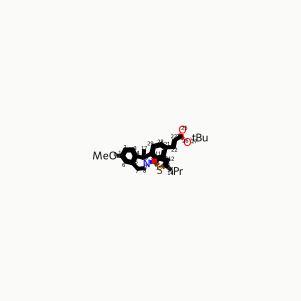 COc1ccc2c(c1)CCN(c1ccc(C(C)C)s1)C2(C)c1ccc(C=CC(=O)OC(C)(C)C)cc1